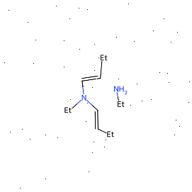 CC/C=C/N(/C=C/CC)CC.CCN